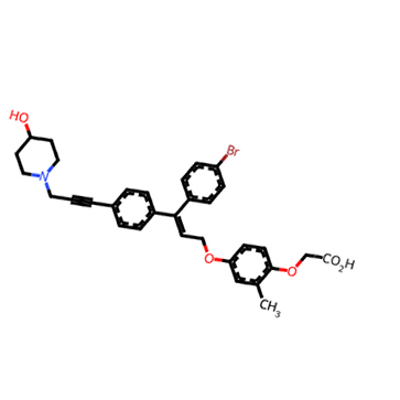 Cc1cc(OC/C=C(\c2ccc(Br)cc2)c2ccc(C#CCN3CCC(O)CC3)cc2)ccc1OCC(=O)O